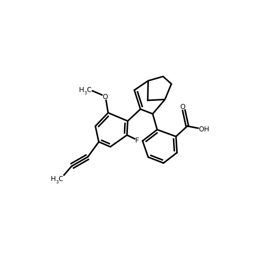 CC#Cc1cc(F)c(C2=CC3CCC(C3)C2c2ccccc2C(=O)O)c(OC)c1